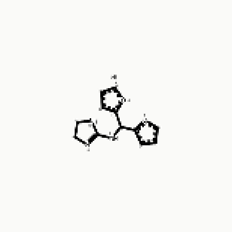 I.c1coc(C(NC2=NCCN2)c2ccco2)c1